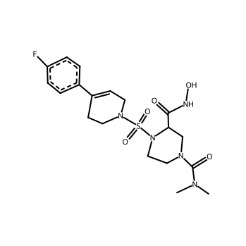 CN(C)C(=O)N1CCN(S(=O)(=O)N2CC=C(c3ccc(F)cc3)CC2)C(C(=O)NO)C1